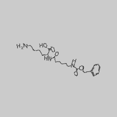 NCCCC[C@H](NC(=O)CCCCCNC(=O)OCc1ccccc1)C(=O)O